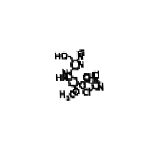 COc1cc2[nH]nc(-c3cnc(N4CCC4)c(CO)c3)c2cc1O[C@H](C)c1c(Cl)cncc1Cl